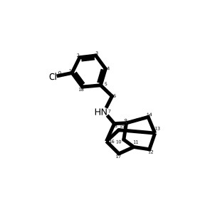 Clc1cccc(CNC2C3CC4CC(C3)CC2C4)c1